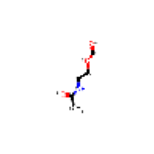 CC(=O)NCCO[C]=O